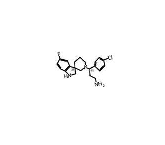 NCC[C@H](c1ccc(Cl)cc1)N1CCC[C@]2(CNc3ccc(F)cc32)C1